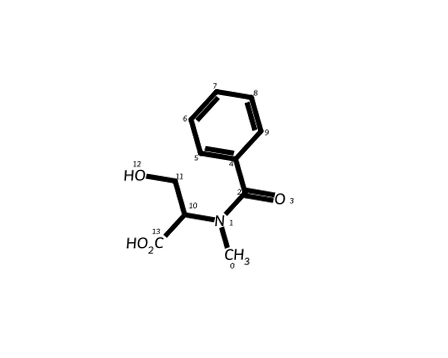 CN(C(=O)c1ccccc1)C(CO)C(=O)O